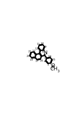 COc1ccc(-c2nc3ccccc3c3c2ccc2ccccc23)cc1